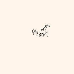 [Cu].[MgH2].[PH2][Mo].[Ti]